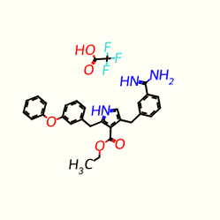 CCOC(=O)c1c(Cc2cccc(C(=N)N)c2)c[nH]c1Cc1cccc(Oc2ccccc2)c1.O=C(O)C(F)(F)F